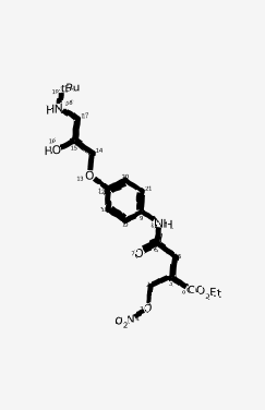 CCOC(=O)C(CO[N+](=O)[O-])CC(=O)Nc1ccc(OCC(O)CNC(C)(C)C)cc1